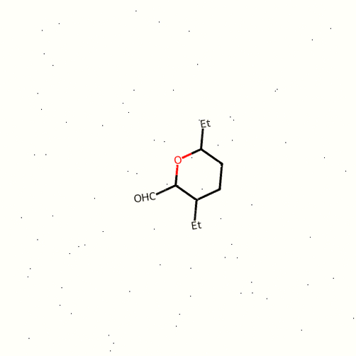 CCC1CCC(CC)C(C=O)O1